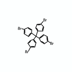 Brc1ccc(C(c2ccc(Br)cc2)(c2ccc(Br)cc2)c2ccc(Br)cc2)cc1